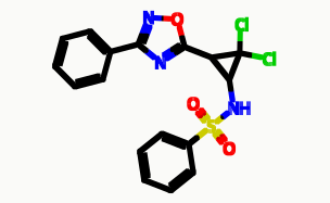 O=S(=O)(NC1C(c2nc(-c3ccccc3)no2)C1(Cl)Cl)c1ccccc1